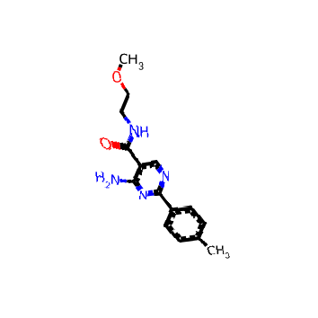 COCCNC(=O)c1cnc(-c2ccc(C)cc2)nc1N